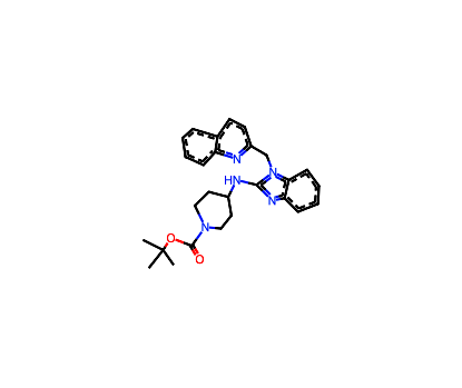 CC(C)(C)OC(=O)N1CCC(Nc2nc3ccccc3n2Cc2ccc3ccccc3n2)CC1